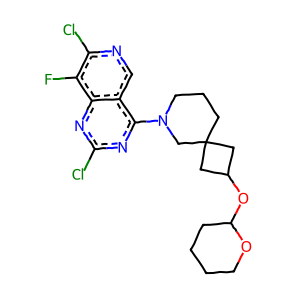 Fc1c(Cl)ncc2c(N3CCCC4(CC(OC5CCCCO5)C4)C3)nc(Cl)nc12